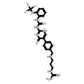 N=C(N)NCCCNCc1ccc(-c2c[nH]c(NC(=O)Nc3ccccc3OC(F)(F)F)nc2=O)cc1